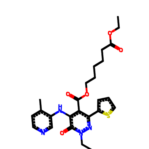 CCOC(=O)CCCCCOC(=O)c1c(-c2cccs2)nn(CC)c(=O)c1Nc1cnccc1C